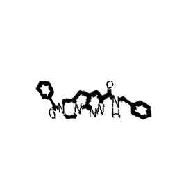 O=C(NCc1ccccc1)c1cc2c(nn1)N1CCN(C(=O)c3ccccc3)CC1C2